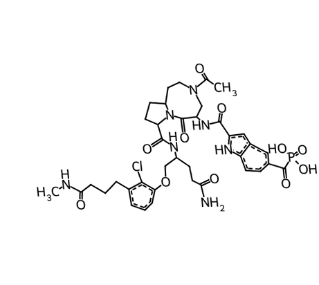 CNC(=O)CCCc1cccc(OCC(CCC(N)=O)NC(=O)C2CCC3CCN(C(C)=O)CC(NC(=O)c4cc5cc(C(=O)P(=O)(O)O)ccc5[nH]4)C(=O)N32)c1Cl